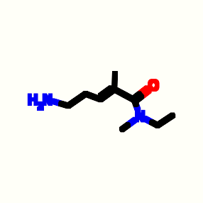 CCN(C)C(=O)C(C)=CCCN